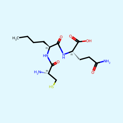 CCCC[C@H](NC(=O)[C@@H](N)CS)C(=O)N[C@@H](CCC(N)=O)C(=O)O